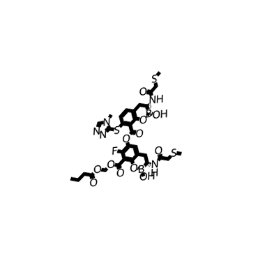 CCCC(=O)OCOC(=O)c1c(F)c(OC(=O)c2c(Sc3nncn3C)ccc3c2OB(O)[C@@H](NC(=O)CSC)C3)cc2c1OB(O)[C@@H](NC(=O)CSC)C2